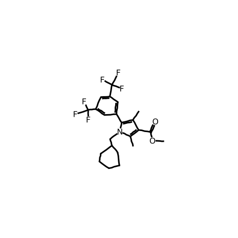 COC(=O)c1c(C)c(-c2cc(C(F)(F)F)cc(C(F)(F)F)c2)n(CC2CCCCC2)c1C